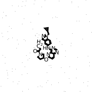 C=CC(=O)N1CC[C@H](Oc2ccc3ncnc(Nc4ccc5c(cnn5CC5CC5)c4)c3n2)C1